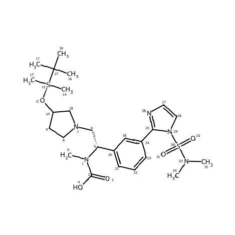 CN(C(=O)O)[C@H](CN1CCC(O[Si](C)(C)C(C)(C)C)C1)c1cccc(-c2nccn2S(=O)(=O)N(C)C)c1